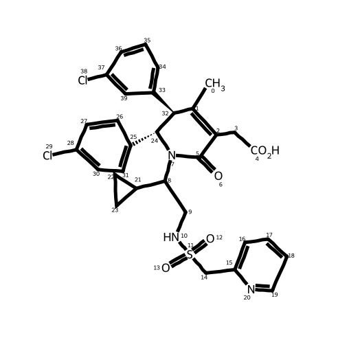 CC1=C(CC(=O)O)C(=O)N(C(CNS(=O)(=O)Cc2ccccn2)C2CC2)[C@H](c2ccc(Cl)cc2)[C@H]1c1cccc(Cl)c1